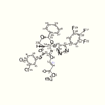 CC(C)(C)OC(=O)/C=C/O[C@@H]1[C@@H](n2cc(-c3cc(F)c(F)c(F)c3)nn2)[C@H]2OC(c3ccccc3)OC[C@H]2O[C@@H]1Sc1ccc(Cl)c(Cl)c1